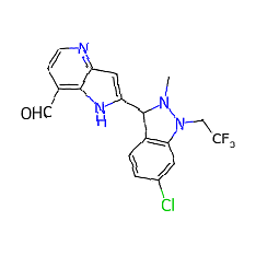 CN1C(c2cc3nccc(C=O)c3[nH]2)c2ccc(Cl)cc2N1CC(F)(F)F